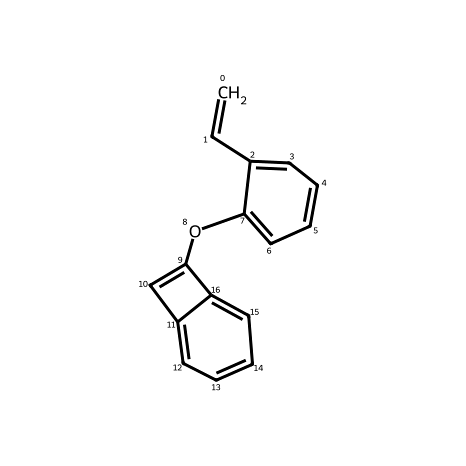 C=Cc1ccccc1OC1=Cc2ccccc21